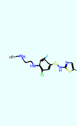 CCCNCCNc1cc(F)c(SNc2ncc(F)s2)cc1Cl